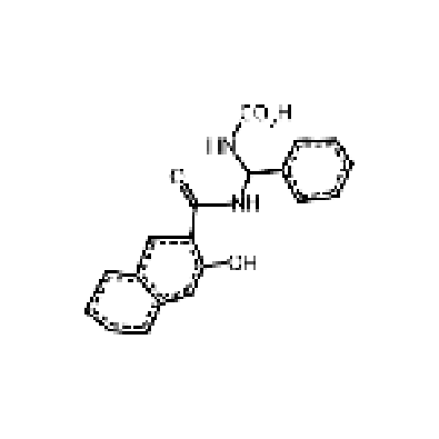 O=C(O)NC(NC(=O)c1cc2ccccc2cc1O)c1ccccc1